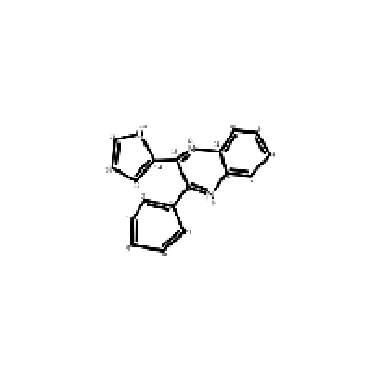 c1ccc(-c2nc3ccccc3nc2-c2ccco2)cc1